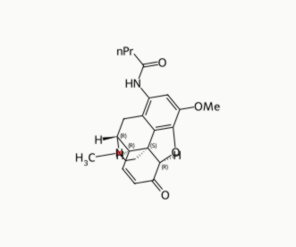 CCCC(=O)Nc1cc(OC)c2c3c1C[C@@H]1[C@@H]4C=CC(=O)[C@H](O2)[C@]34CCN1C